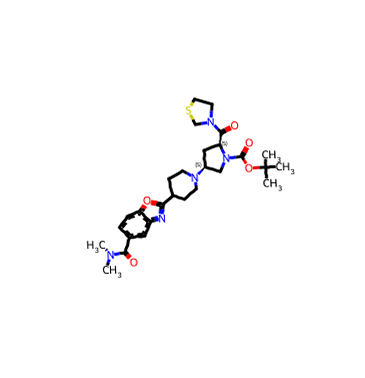 CN(C)C(=O)c1ccc2oc(C3CCN([C@H]4C[C@@H](C(=O)N5CCSC5)N(C(=O)OC(C)(C)C)C4)CC3)nc2c1